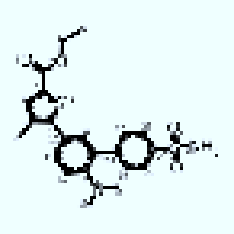 CCOC(=O)c1cc(C)c(-c2ccc(N(C)C)c(-c3ccc(S(N)(=O)=O)cc3)c2)s1